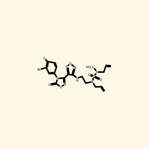 C=CCN(CCNc1nonc1-c1noc(=O)n1-c1ccc(F)c(Br)c1)S(=O)(=O)N(CC=C)C(=O)O